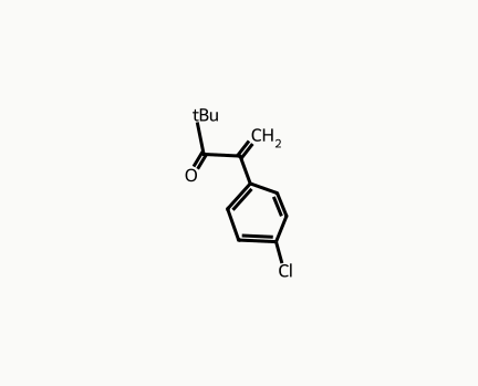 C=C(C(=O)C(C)(C)C)c1ccc(Cl)cc1